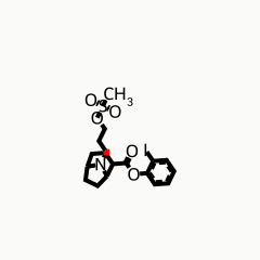 CS(=O)(=O)OCCCN1C2CCC(C(=O)Oc3ccccc3I)C1CC2